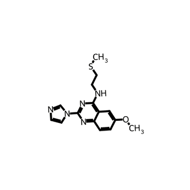 COc1ccc2nc(-n3ccnc3)nc(NCCSC)c2c1